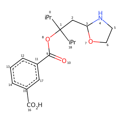 CC(C)C(CC1NCCO1)(OC(=O)c1cccc(C(=O)O)c1)C(C)C